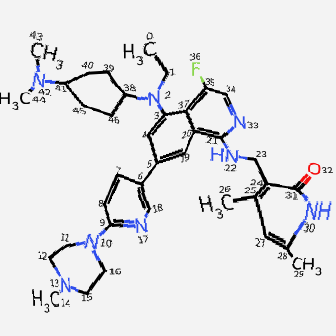 CCN(c1cc(-c2ccc(N3CCN(C)CC3)nc2)cc2c(NCc3c(C)cc(C)[nH]c3=O)ncc(F)c12)C1CCC(N(C)C)CC1